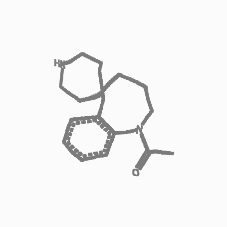 CC(=O)N1CCCC2(CCNCC2)c2ccccc21